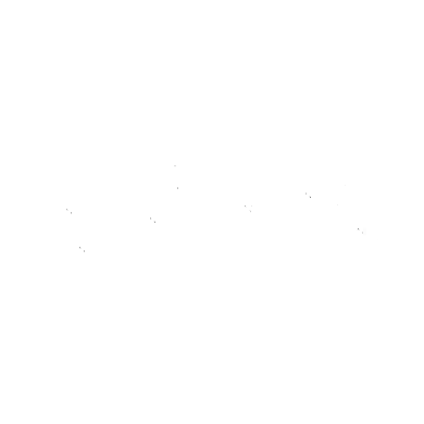 NCC(=O)N1CCC2C1CCN2C1CCC(O)(c2ccc(-c3ncccn3)cn2)CC1